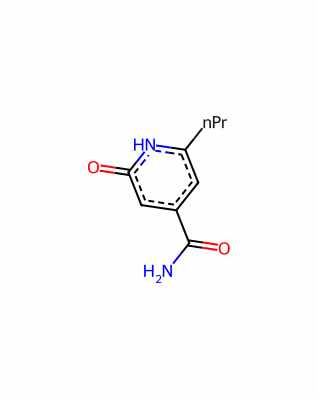 CCCc1cc(C(N)=O)cc(=O)[nH]1